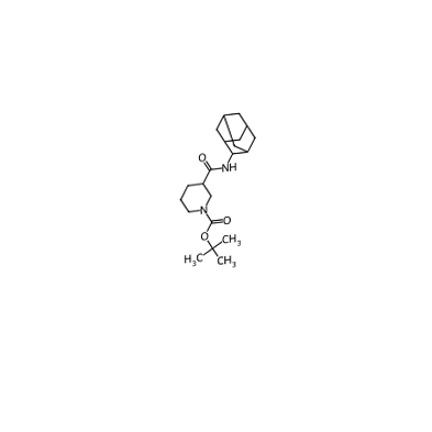 CC(C)(C)OC(=O)N1CCCC(C(=O)NC2C3CC4CC(C3)CC2C4)C1